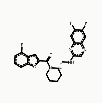 O=C(c1cc2c(F)cccc2o1)N1CCCC[C@H]1CNc1cnc2cc(F)c(F)cc2n1